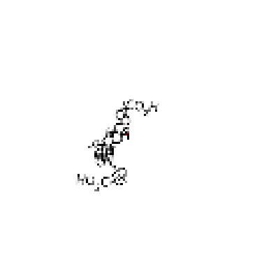 C=C(C)[C@@H]1CC[C@]2(C(=O)NCCC3CC(CC(=O)O)OC(C)(C)O3)CC[C@]3(C)[C@H](CC[C@@H]4[C@@]5(C)CC[C@H](OC(=O)CC(C)(C)C(=O)O)C(C)(C)[C@@H]5CC[C@]43C)[C@@H]12